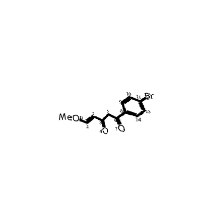 COC=CC(=O)CC(=O)c1ccc(Br)cc1